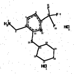 Cl.Cl.NCc1ccc(C(F)(F)F)nc1SC1CCCCC1